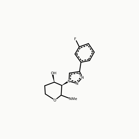 CNC1OCC[C@@H](O)[C@H]1n1cc(-c2cccc(F)c2)nn1